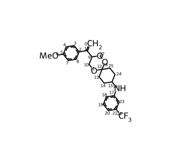 C=C(c1ccc(OC)cc1)C1COC2(CCC(Nc3cccc(C(F)(F)F)c3)CC2)OO1